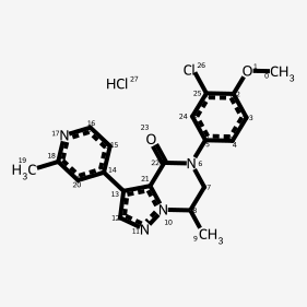 COc1ccc(N2CC(C)n3ncc(-c4ccnc(C)c4)c3C2=O)cc1Cl.Cl